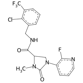 CN1C(=O)N(c2cccnc2F)CC1C(=O)NCc1cccc(C(F)(F)F)c1Cl